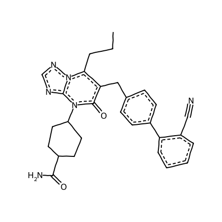 CCCc1c(Cc2ccc(-c3ccccc3C#N)cc2)c(=O)n(C2CCC(C(N)=O)CC2)c2ncnn12